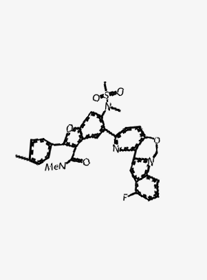 CNC(=O)c1c(-c2ccc(C)cc2)oc2cc(N(C)S(C)(=O)=O)c(-c3ccc4c(n3)-c3cc5c(F)cccc5n3CO4)cc12